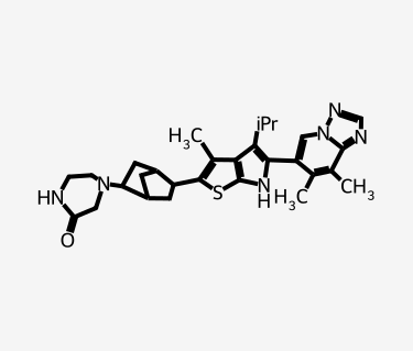 Cc1c(-c2[nH]c3sc(C4CC5CC4CC5N4CCNC(=O)C4)c(C)c3c2C(C)C)cn2ncnc2c1C